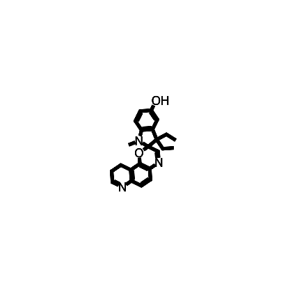 CCC1(CC)c2cc(O)ccc2N(C)C12C=Nc1ccc3c(c1O2)CCC=N3